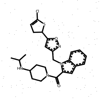 CC(C)NC1CCN(C(=O)c2cc3ccccc3n2Cc2cc(C3CC=C(Cl)S3)on2)CC1